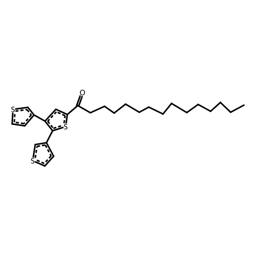 CCCCCCCCCCCCCCC(=O)c1cc(-c2ccsc2)c(-c2ccsc2)s1